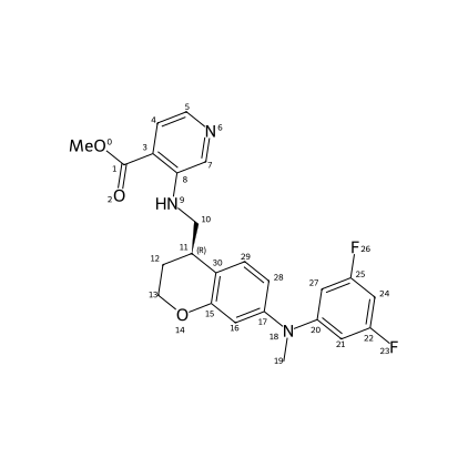 COC(=O)c1ccncc1NC[C@@H]1CCOc2cc(N(C)c3cc(F)cc(F)c3)ccc21